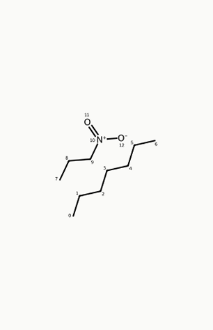 CCCCCCC.CCC[N+](=O)[O-]